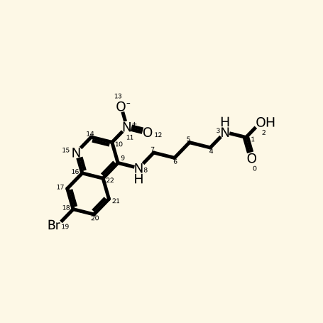 O=C(O)NCCCCNc1c([N+](=O)[O-])cnc2cc(Br)ccc12